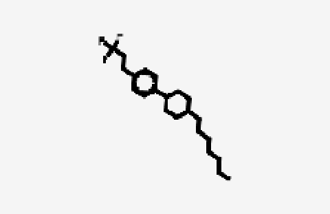 CCCCCCCC1CCC(c2ccc(CCC(F)(F)F)cc2)CC1